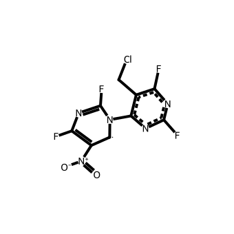 O=[N+]([O-])C1=C(F)N=C(F)N(c2nc(F)nc(F)c2CCl)[CH]1